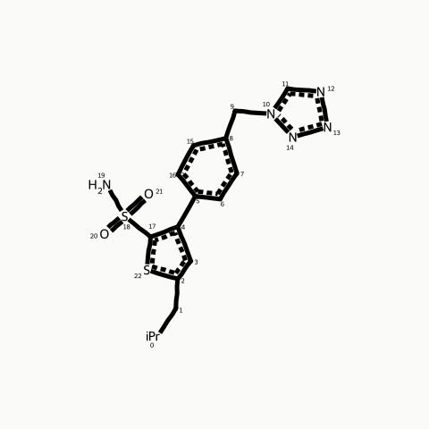 CC(C)Cc1cc(-c2ccc(Cn3cnnn3)cc2)c(S(N)(=O)=O)s1